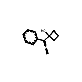 C=C=C(c1ccccc1)C1(O)CCC1